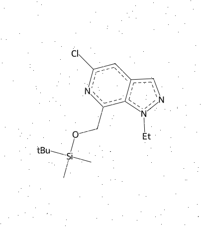 CCn1ncc2cc(Cl)nc(CO[Si](C)(C)C(C)(C)C)c21